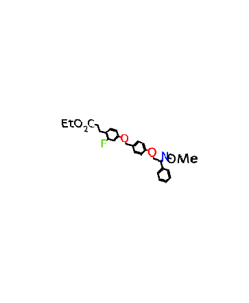 CCOC(=O)CCc1ccc(OCc2ccc(OCC(=NOC)c3ccccc3)cc2)cc1F